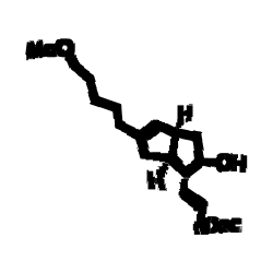 CCCCCCCCCC/C=C/[C@@H]1[C@H]2CC(CCCCCOC)=C[C@H]2C[C@H]1O